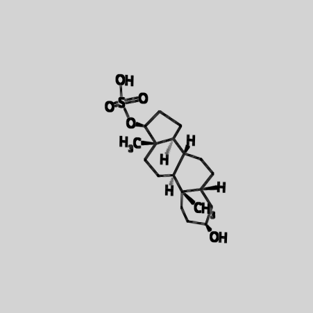 C[C@]12CC[C@H](O)C[C@H]1CC[C@@H]1[C@@H]2CC[C@]2(C)[C@@H](OS(=O)(=O)O)CC[C@@H]12